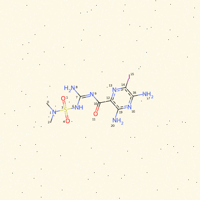 CN(C)S(=O)(=O)N/C(N)=N\C(=O)c1nc(I)c(N)nc1N